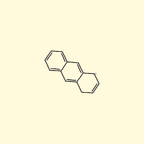 [C]1C=CCc2cc3ccccc3cc21